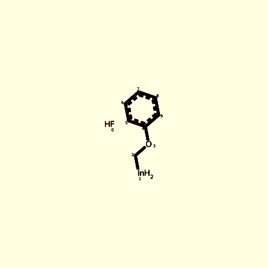 F.[InH2][CH2]Oc1ccccc1